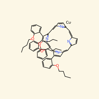 CCCCOc1ccccc1C1=CC2=CC3=NC(=CC4=NC(=CC5=NC(=C(c6ccccc6OCCCC)C1=N2)C(c1ccccc1OCCCC)=C5c1ccccc1OCCCC)C=C4)C=C3.[Cu]